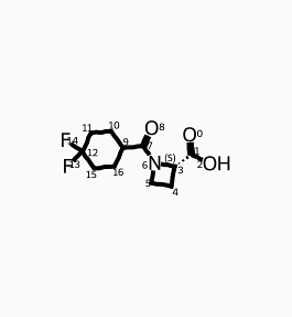 O=C(O)[C@@H]1CCN1C(=O)C1CCC(F)(F)CC1